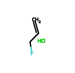 C=CCF.Cl